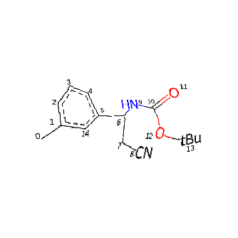 Cc1cccc(C(CC#N)NC(=O)OC(C)(C)C)c1